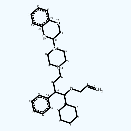 C=CCOC(C1CCCCC1)C(CCN1CCN(C2COc3ccccc3O2)CC1)c1ccccc1